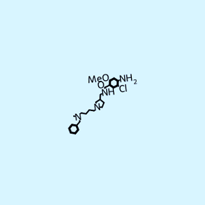 COc1cc(N)c(Cl)cc1C(=O)NCC1CCN(CCCCN(C)Cc2ccccc2)C1